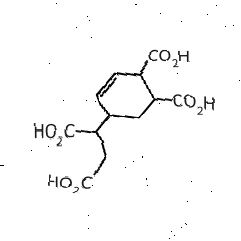 O=C(O)CC(C(=O)O)C1C=CC(C(=O)O)C(C(=O)O)C1